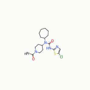 CCCC(=O)N1CCC(N(C(=O)Nc2ncc(Cl)s2)C2CCCCCC2)CC1